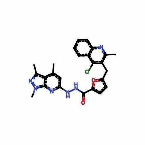 Cc1nc2ccccc2c(Cl)c1Cc1ccc(C(=O)NNc2cc(C)c3c(C)nn(C)c3n2)o1